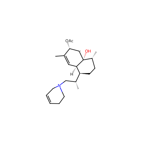 CC(=O)O[C@@H]1[C][C@@]2(O)[C@H](C)CC[C@@H]([C@H](C)CN3CC=CCC3)[C@H]2C=C1C